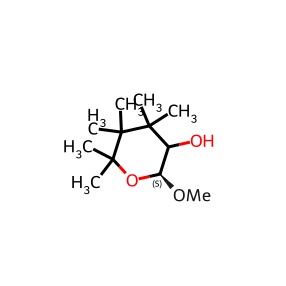 CO[C@H]1OC(C)(C)C(C)(C)C(C)(C)C1O